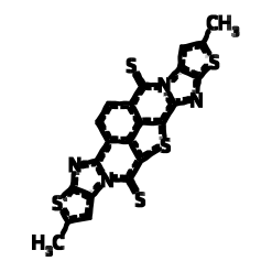 Cc1cc2c(nc3c4ccc5c(=S)n6c7cc(C)sc7nc6c6sc(c(=S)n23)c4c56)s1